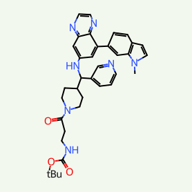 Cn1ccc2ccc(-c3cc(NC(c4cccnc4)C4CCN(C(=O)CCNC(=O)OC(C)(C)C)CC4)cc4nccnc34)cc21